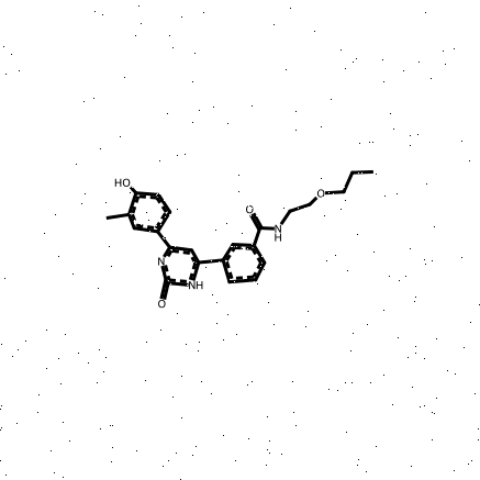 CCCOCCNC(=O)c1cccc(-c2cc(-c3ccc(O)c(C)c3)nc(=O)[nH]2)c1